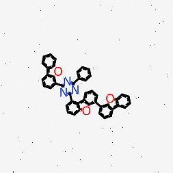 c1ccc(-c2nc(-c3cccc4c3oc3ccccc34)nc(-c3cccc4oc5c(-c6cccc7c6oc6ccccc67)cccc5c34)n2)cc1